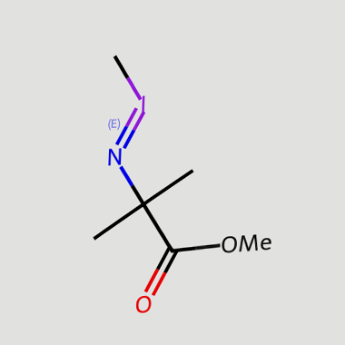 COC(=O)C(C)(C)/N=I/C